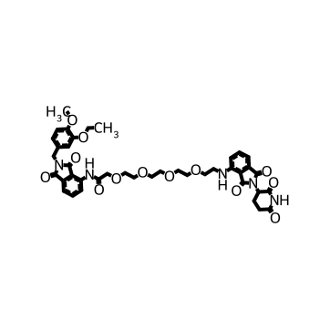 CCOc1cc(CN2C(=O)c3cccc(NC(=O)COCCOCCOCCOCCNc4cccc5c4C(=O)N(C4CCC(=O)NC4=O)C5=O)c3C2=O)ccc1OC